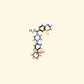 CC(c1ccc2c(c1)PCC=N2)N1CCN(c2ccc(C3(O)CCOCC3)cn2)CC1